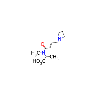 CC(C(=O)O)N(C)C(=O)C=CCN1CCC1